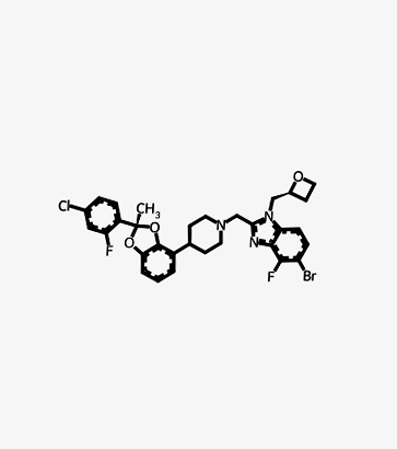 C[C@]1(c2ccc(Cl)cc2F)Oc2cccc(C3CCN(Cc4nc5c(F)c(Br)ccc5n4C[C@@H]4CCO4)CC3)c2O1